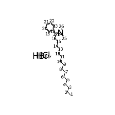 Br.CCCCCCCCCCCCCCCCC(c1ccccc1)N(C)C.Cl